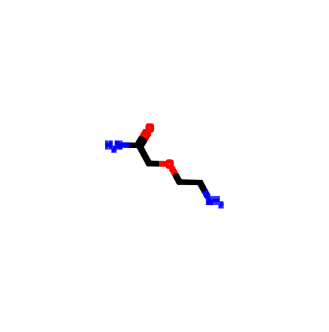 NCCOCC(N)=O